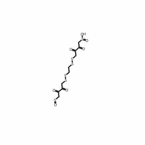 O=[S]CC(=O)C(=O)CSSCCSSCC(=O)C(=O)CS(=O)O